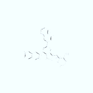 BC1=CCCC/C1=C\C1=C2SC(c3ccc4ccccc4c3)=CC(c3ccc4ccccc4c3)=C2CC1